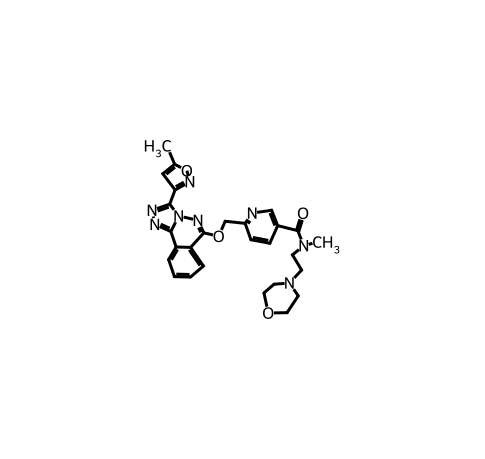 Cc1cc(-c2nnc3c4ccccc4c(OCc4ccc(C(=O)N(C)CCN5CCOCC5)cn4)nn23)no1